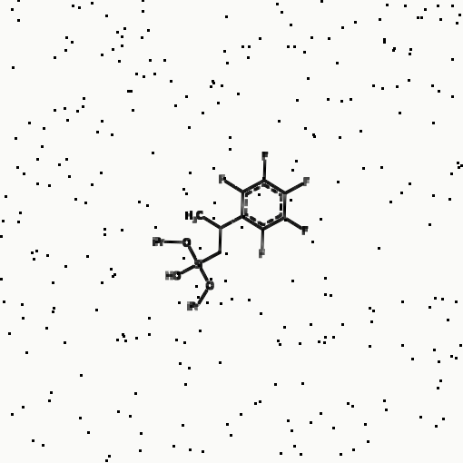 CC(C)O[Si](O)(CC(C)c1c(F)c(F)c(F)c(F)c1F)OC(C)C